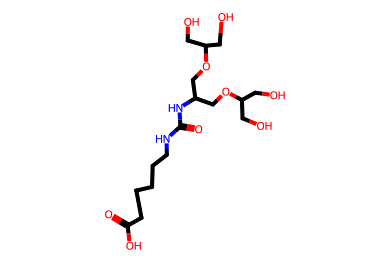 O=C(O)CCCCCNC(=O)NC(COC(CO)CO)COC(CO)CO